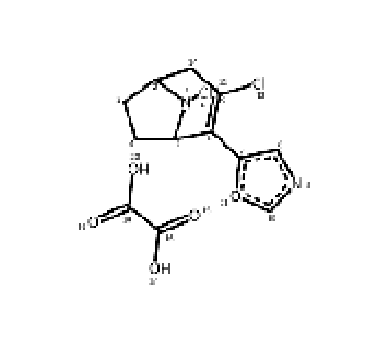 CN1C2CCC1C(c1cnco1)=C(Cl)C2.O=C(O)C(=O)O